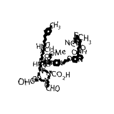 COC(=O)C[C@H](NC(=O)[C@H](CCCC/N=C(\C)NC(=O)CCCc1ccc(C)cc1)NC(=O)CN1CCN(COC=O)CCN(COC=O)CCN(CC(=O)O)CC1)C(=O)N1CCN(CCCOc2ccc3nccc(C(=O)NCC(=O)N4CC(C)(F)C[C@@H]4C#N)c3c2)CC1